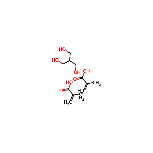 C=C(C)C(=O)O.C=C(C)C(=O)O.OCC(CO)CO